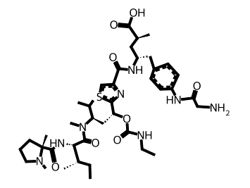 CCNC(=O)O[C@H](C[C@H](C(C)C)N(C)C(=O)[C@@H](NC(=O)[C@@]1(C)CCCN1C)[C@@H](C)CC)c1nc(C(=O)N[C@@H](Cc2ccc(NC(=O)CN)cc2)C[C@H](C)C(=O)O)cs1